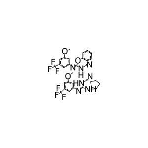 COc1cc(/N=C(/NC#N)Oc2ccccc2)cc(C(F)(F)F)c1.COc1cc(/N=C(\NC#N)NC2CCCC2)cc(C(F)(F)F)c1